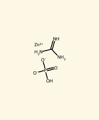 N=C(N)N.O=P([O-])([O-])O.[Zn+2]